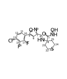 O=C(NO)C1(NCc2cc(-c3ccc(Cl)c(F)c3F)on2)CCSCC1